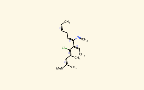 C=NC(=C\C/C=C\C)/C(=C/C)C(/Cl)=C(C)/C=C(\C)NC